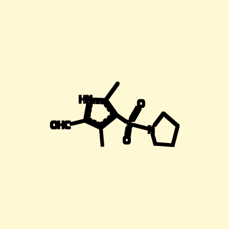 Cc1[nH]c(C=O)c(C)c1S(=O)(=O)N1CCCC1